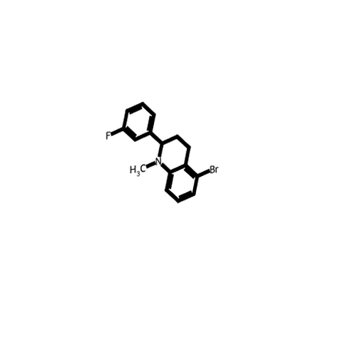 CN1c2cccc(Br)c2CCC1c1cccc(F)c1